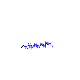 CCNN=NN=NN=NN